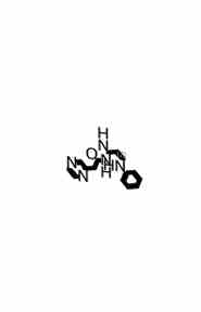 N=C(/C=C\Nc1ccccc1)NC(=O)Cc1cnccn1